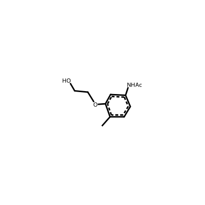 CC(=O)Nc1ccc(C)c(OCCO)c1